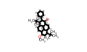 COc1cc(C(C)(C)C)c2ccc3c(Br)c(-c4ccccc4)c(C(C)(C)C)c4ccc1c2c34